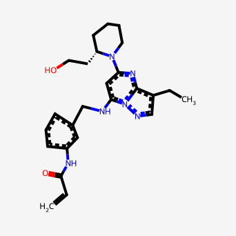 C=CC(=O)Nc1cccc(CNc2cc(N3CCCC[C@H]3CCO)nc3c(CC)cnn23)c1